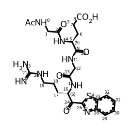 CC(=O)NCC(=O)N[C@@H](CCC(=O)O)C(=O)NCC(=O)N[C@@H](CCCNC(=N)N)C(=O)c1nc2ccccc2s1